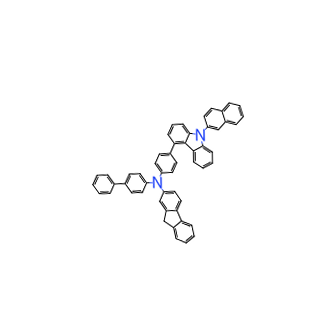 c1ccc(-c2ccc(N(c3ccc(-c4cccc5c4c4ccccc4n5-c4ccc5ccccc5c4)cc3)c3ccc4c(c3)Cc3ccccc3-4)cc2)cc1